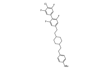 CCCCc1ccc(CCC2CCC(CCc3cc(F)c(-c4cc(F)c(Cl)c(F)c4)c(F)c3)CC2)cc1